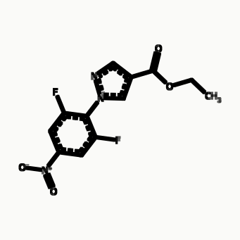 CCOC(=O)c1cnn(-c2c(F)cc([N+](=O)[O-])cc2F)c1